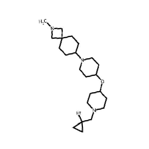 CCC1(CN2CCC(OC3CCN(C4CCC5(CC4)CN(C)C5)CC3)CC2)CC1